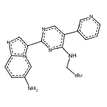 CC(C)(C)CNc1nc(-c2cnc3ccc(N)cn23)ncc1-c1cccnc1